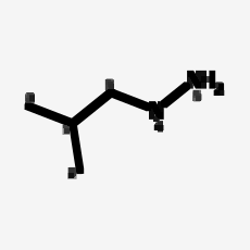 CC(C)C[N]N